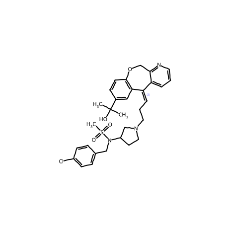 CC(C)(O)c1ccc2c(c1)/C(=C\CCN1CCC(N(Cc3ccc(Cl)cc3)S(C)(=O)=O)C1)c1cccnc1CO2